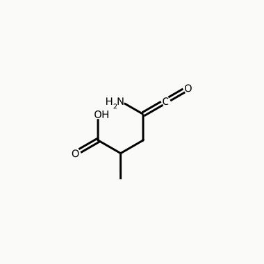 CC(CC(N)=C=O)C(=O)O